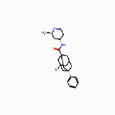 CC[C@]12CC3CC(C(=O)N[C@H]4CCN[C@H](C)C4)(C1)C[C@@](c1ccccc1)(C3)C2